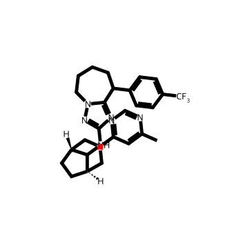 Cc1cc(N2C[C@H]3CC[C@H](C2)C3Nc2nc3n(n2)CCCCC3c2ccc(C(F)(F)F)cc2)ncn1